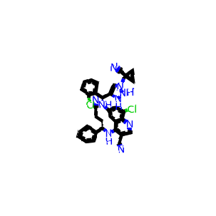 N#CCC[C@@H](Nc1c(C#N)cnc2c(Cl)cc(N[C@H](C3=CN(C4(C#N)CC4)NN3)c3ccccc3Cl)cc12)c1ccccc1